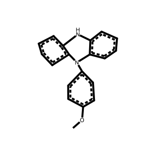 COc1ccc(N2c3ccccc3Nc3ccccc32)cc1